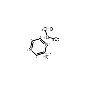 CCOC=O.Cl.c1cnccn1